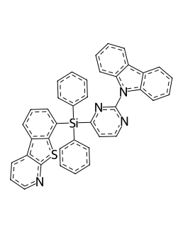 c1ccc([Si](c2ccccc2)(c2ccnc(-n3c4ccccc4c4ccccc43)n2)c2cccc3c2sc2ncccc23)cc1